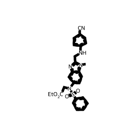 CCOC(=O)CN(c1ccc2c(c1)nc(CNc1ccc(C#N)cc1)n2C)S(=O)(=O)c1ccccc1